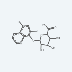 O=C(O)C1OC(Oc2c(I)cc(Cl)c3cccnc23)C(O)C(O)C1O